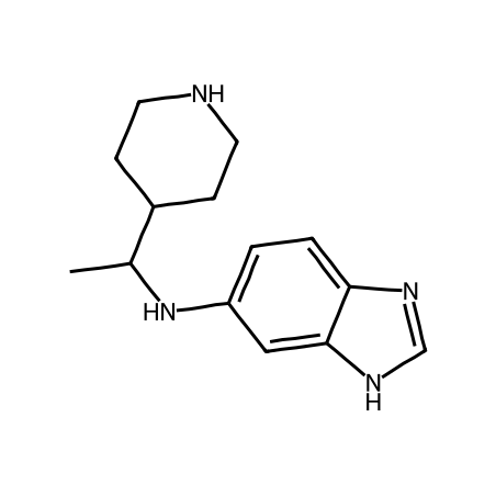 CC(Nc1ccc2nc[nH]c2c1)C1CCNCC1